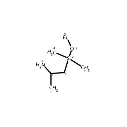 CCO[Si](C)(C)CC(C)N